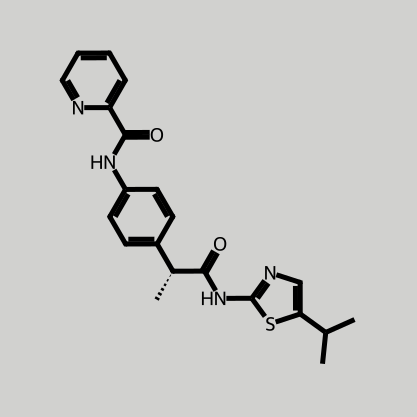 CC(C)c1cnc(NC(=O)[C@H](C)c2ccc(NC(=O)c3ccccn3)cc2)s1